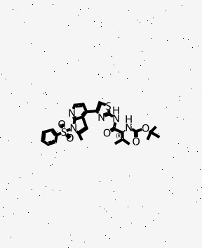 Cc1cc2c(-c3csc(NC(=O)[C@H](NC(=O)OC(C)(C)C)C(C)C)n3)ccnc2n1S(=O)(=O)c1ccccc1